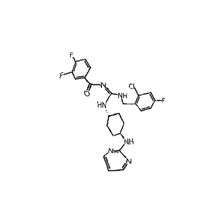 O=C(/N=C(/NCc1ccc(F)cc1Cl)N[C@H]1CC[C@H](Nc2ncccn2)CC1)c1ccc(F)c(F)c1